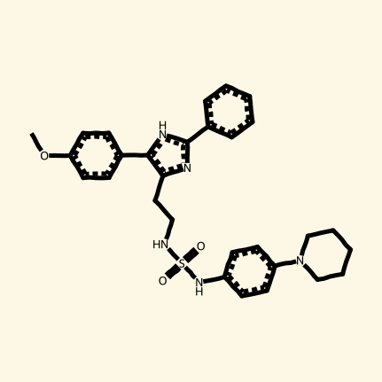 COc1ccc(-c2[nH]c(-c3ccccc3)nc2CCNS(=O)(=O)Nc2ccc(N3CCCCC3)cc2)cc1